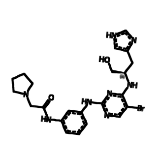 O=C(CN1CCCC1)Nc1cccc(Nc2ncc(Br)c(N[C@@H](CO)Cc3c[nH]cn3)n2)c1